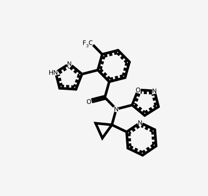 O=C(c1cccc(C(F)(F)F)c1-c1cc[nH]n1)N(c1ccno1)C1(c2ccccn2)CC1